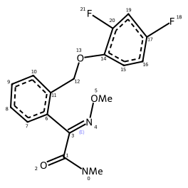 CNC(=O)/C(=N/OC)c1ccccc1COc1ccc(F)cc1F